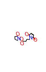 O=C(CCCN1C(=O)C=CC1=O)ON1CCCC1=O